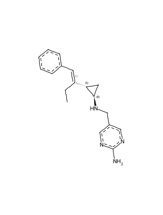 CC/C(=C\c1ccccc1)[C@@H]1C[C@H]1NCc1cnc(N)nc1